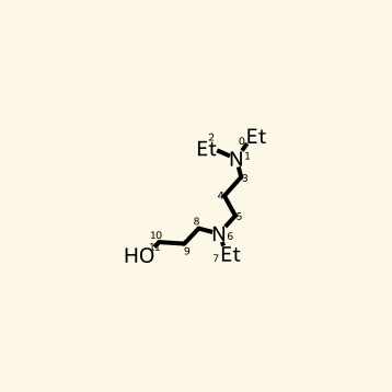 CCN(CC)CCCN(CC)CCCO